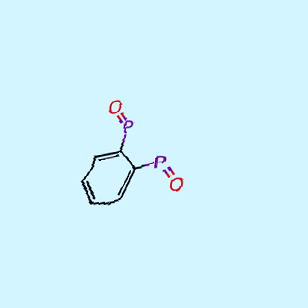 O=Pc1ccccc1P=O